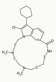 CN1CCCSNC(=O)c2ccc3c(C4CCCCC4)c(Cl)n(c3c2)CCN(C)CC1